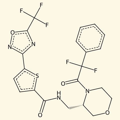 O=C(NC[C@H]1COCCN1C(=O)C(F)(F)c1ccccc1)c1ccc(-c2noc(C(F)(F)F)n2)s1